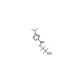 CC(C)n1ccc(BOC(C)(C)C(C)(C)O)n1